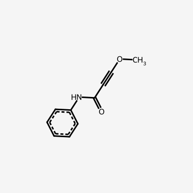 COC#CC(=O)Nc1ccccc1